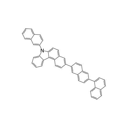 c1ccc2cc(-n3c4ccccc4c4c5ccc(-c6ccc7cc(-c8cccc9ccccc89)ccc7c6)cc5ccc43)ccc2c1